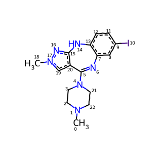 CN1CCN(C2=Nc3cc(I)ccc3Nc3nn(C)cc32)CC1